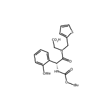 COc1ccccc1[C@@H](NC(=O)OC(C)(C)C)C(=O)N(CC(=O)O)Cc1cccs1